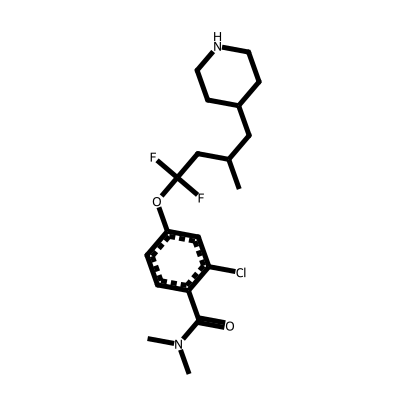 CC(CC1CCNCC1)CC(F)(F)Oc1ccc(C(=O)N(C)C)c(Cl)c1